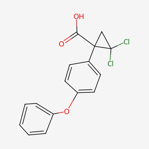 O=C(O)C1(c2ccc(Oc3ccccc3)cc2)CC1(Cl)Cl